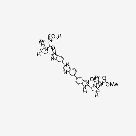 COC(=O)N[C@H](C(=O)N1[C@@H]2C[C@@H]2C[C@H]1c1nc2cc(-c3ccc4nc(-c5ccc6[nH]c([C@@H]7C[C@H]8C[C@H]8N7C(=O)[C@H](C(C)C)N(C)C(=O)O)nc6c5)cnc4c3)ccc2[nH]1)C(C)C